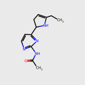 CCC1=CCC(c2ccnc(NC(C)=O)n2)N1